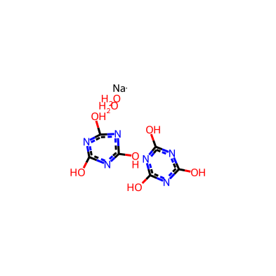 O.O.Oc1nc(O)nc(O)n1.Oc1nc(O)nc(O)n1.[Na]